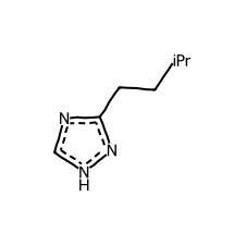 CC(C)CCc1nc[nH]n1